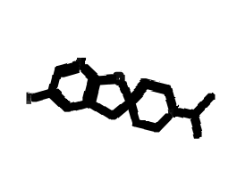 CC(C)N1CCC2(CC1)Cc1cc(F)cnc1O2